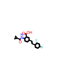 O=C(O)c1cc(/C=C/c2ccc(F)cc2F)ccc1NC(=O)C1CC1